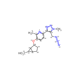 Cc1nc(-c2nnn(C)c2CN=[N+]=[N-])ccc1OC1CCC2C(C(=O)O)C12